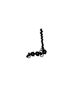 CCCCCCCCCCCCCCCOc1ccccc1OC(=O)c1ccc(-c2ccc(C(C)OCC)cc2)cc1